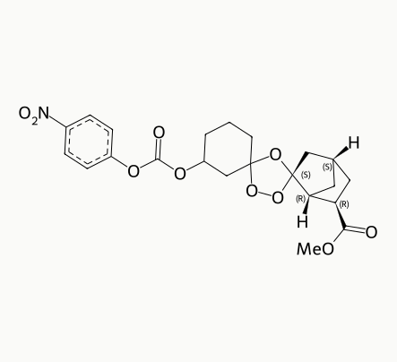 COC(=O)[C@@H]1C[C@@H]2C[C@H]1[C@]1(C2)OOC2(CCCC(OC(=O)Oc3ccc([N+](=O)[O-])cc3)C2)O1